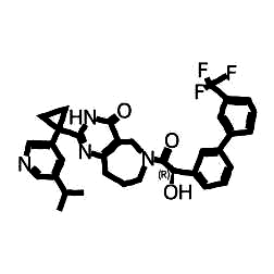 CC(C)c1cncc(C2(c3nc4c(c(=O)[nH]3)CN(C(=O)[C@H](O)c3cccc(-c5cccc(C(F)(F)F)c5)c3)CCC4)CC2)c1